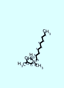 CCCCCCCCCC[N+](C)(C)CC(C)O